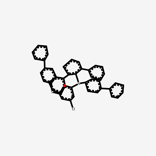 Clc1cc(Sc2ccc(-c3ccccc3)cc2)cc(N(c2ccc(-c3ccccc3)cc2)c2c(-c3ccccc3)cccc2-c2ccccc2)c1